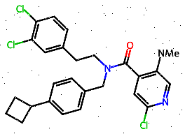 CNc1cnc(Cl)cc1C(=O)N(CCc1ccc(Cl)c(Cl)c1)Cc1ccc(C2CCC2)cc1